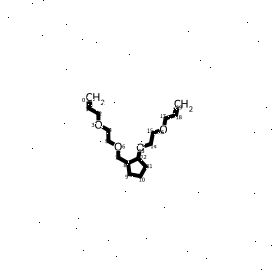 C=CCOCCOCC1CCCC1OCCOCC=C